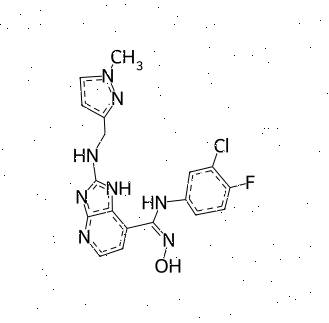 Cn1ccc(CNc2nc3nccc(/C(=N\O)Nc4ccc(F)c(Cl)c4)c3[nH]2)n1